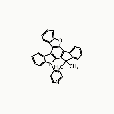 CC1(C)c2ccccc2-c2c1c1c(c3ccccc3n1-c1ccncc1)c1c2oc2ccccc21